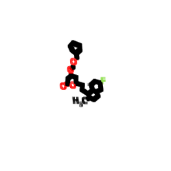 CC1CCC2CC(F)C[CH]C2C1CCC1CC(OCOCc2ccccc2)CC(=O)O1